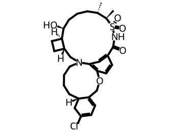 C[C@@H]1[C@@H](C)CCC[C@H](O)[C@@H]2CC[C@H]2CN2CCCC[C@H]3CC(Cl)=CC=C3COc3ccc(cc32)C(=O)NS1(=O)=O